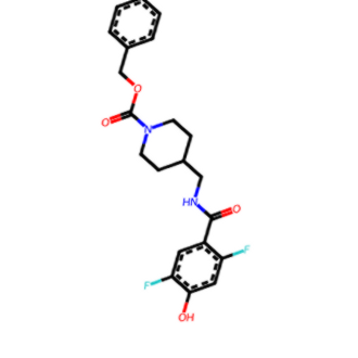 O=C(NCC1CCN(C(=O)OCc2ccccc2)CC1)c1cc(F)c(O)cc1F